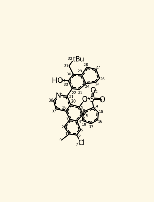 Cc1cc2c(cc1Cl)cc(OS(=O)(=O)c1ccccc1)c1c(-c3cc4ccccc4c(CC(C)(C)C)c3O)nccc12